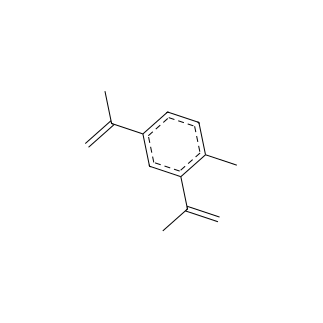 C=C(C)c1ccc(C)c(C(=C)C)c1